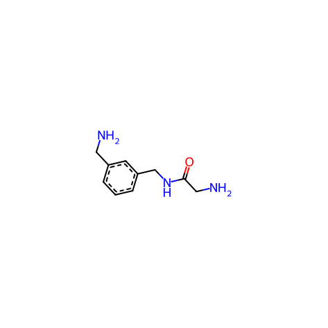 NCC(=O)NCc1cccc(CN)c1